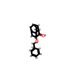 O=C1C2CC3CC(C2)CC1(OCc1ccccc1)C3